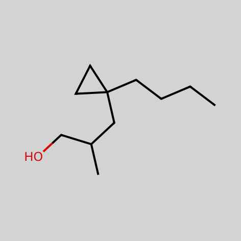 CCCCC1(CC(C)CO)CC1